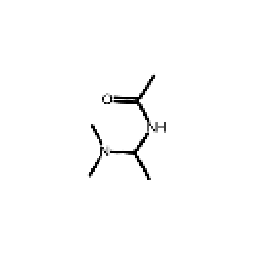 C[C](NC(C)=O)N(C)C